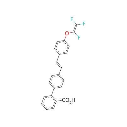 O=C(O)c1ccccc1-c1ccc(/C=C/c2ccc(OC(F)=C(F)F)cc2)cc1